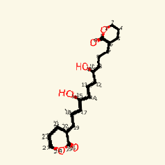 O=C1OCCCC1CCCC(O)CCCC(O)CCCC1CCCOC1=O